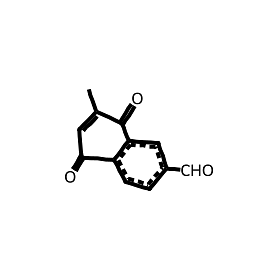 CC1=CC(=O)c2ccc(C=O)cc2C1=O